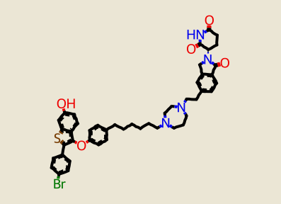 O=C1CC[C@H](N2Cc3cc(CCN4CCCN(CCCCCCc5ccc(Oc6c(-c7ccc(Br)cc7)sc7cc(O)ccc67)cc5)CC4)ccc3C2=O)C(=O)N1